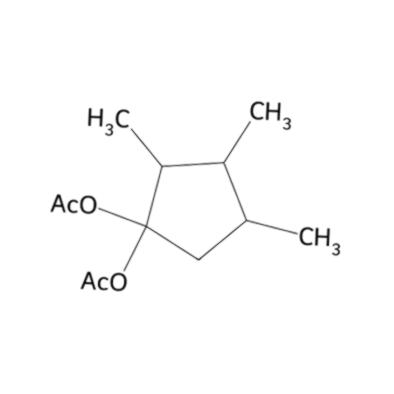 CC(=O)OC1(OC(C)=O)CC(C)C(C)C1C